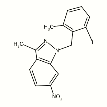 Cc1cccc(I)c1Cn1nc(C)c2ccc([N+](=O)[O-])cc21